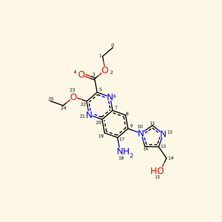 CCOC(=O)c1nc2cc(-n3cnc(CO)c3)c(N)cc2nc1OCC